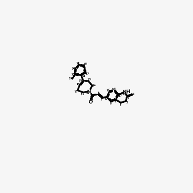 C=C1CCc2cc(/C=C/C(=O)N3CCC=C(c4ccccc4C)CC3)cnc2N1